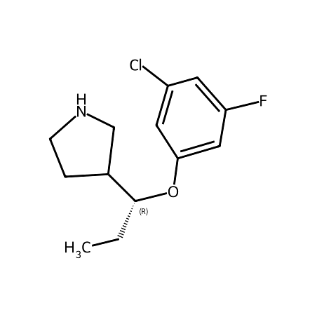 CC[C@@H](Oc1cc(F)cc(Cl)c1)C1CCNC1